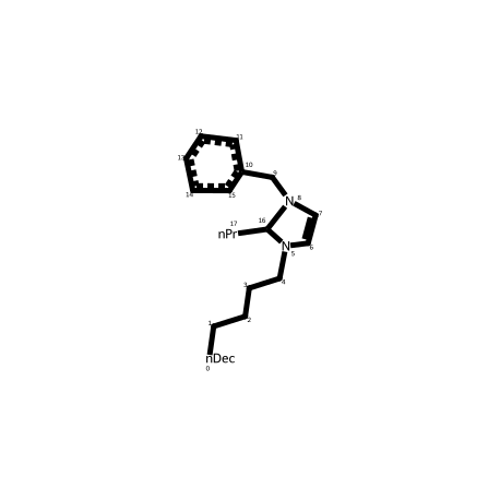 CCCCCCCCCCCCCCN1C=CN(Cc2ccccc2)C1CCC